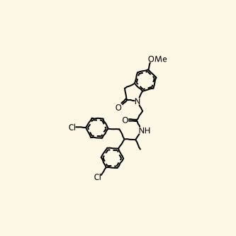 COc1ccc2c(c1)CC(=O)N2CC(=O)NC(C)C(Cc1ccc(Cl)cc1)c1ccc(Cl)cc1